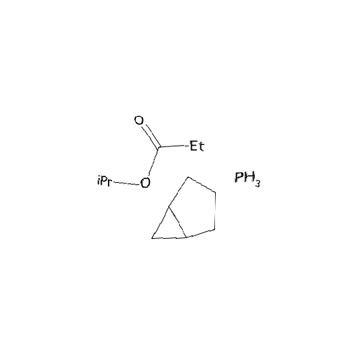 C1CC2CC2C1.CCC(=O)OC(C)C.P